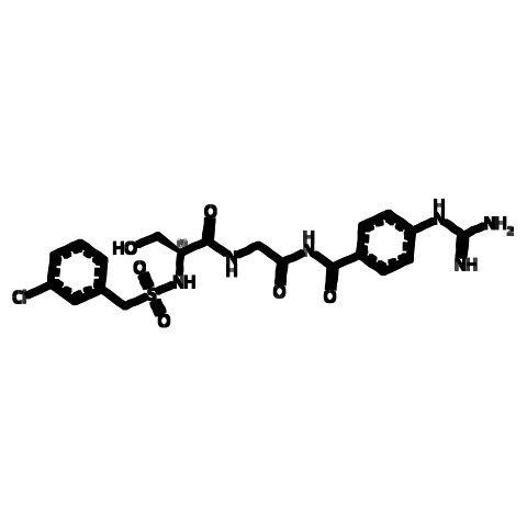 N=C(N)Nc1ccc(C(=O)NC(=O)CNC(=O)[C@H](CO)NS(=O)(=O)Cc2cccc(Cl)c2)cc1